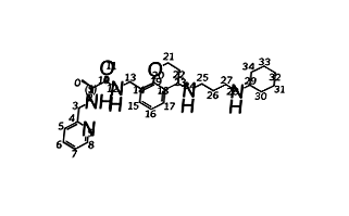 C[C@H](NCc1ccccn1)C(=O)NCc1cccc2c1OCCC2NCCCNC1CCCCC1